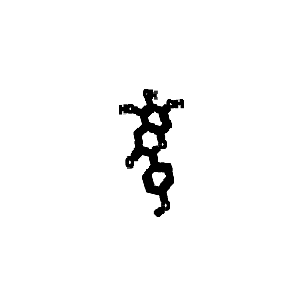 COc1ccc(C2Oc3cc(O)c(O)c(O)c3CC2=O)cc1